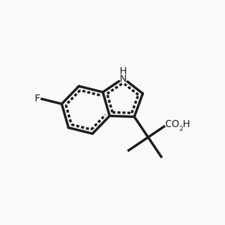 CC(C)(C(=O)O)c1c[nH]c2cc(F)ccc12